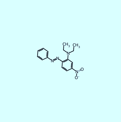 CCN(CC)c1cc([N+](=O)[O-])ccc1N=Nc1ccccc1